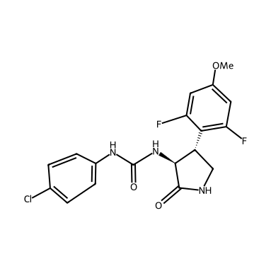 COc1cc(F)c([C@@H]2CNC(=O)[C@H]2NC(=O)Nc2ccc(Cl)cc2)c(F)c1